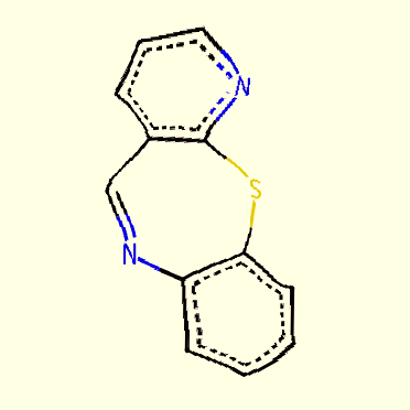 C1=Nc2ccccc2Sc2ncccc21